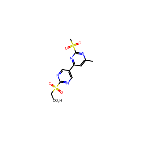 Cc1cc(-c2[c]nc(S(=O)(=O)CC(=O)O)nc2)nc(S(C)(=O)=O)n1